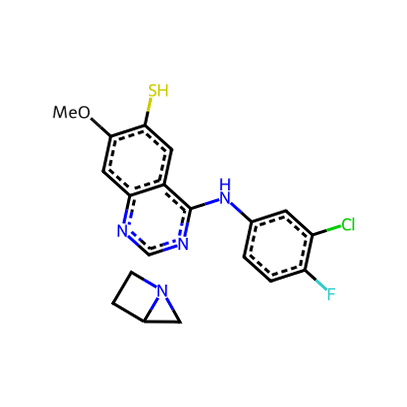 C1CN2CC12.COc1cc2ncnc(Nc3ccc(F)c(Cl)c3)c2cc1S